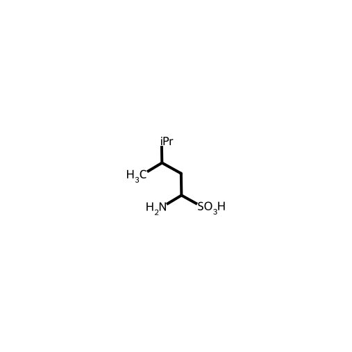 CC(C)C(C)CC(N)S(=O)(=O)O